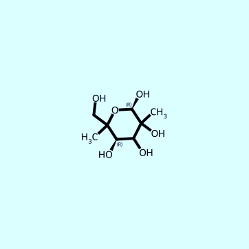 CC1(CO)O[C@@H](O)C(C)(O)C(O)[C@H]1O